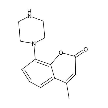 Cc1cc(=O)oc2c(N3CCNCC3)cccc12